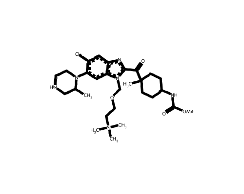 COC(=O)NC1CCC(C)(C(=O)c2nc3cc(Cl)c(N4CCNCC4C)cc3n2COCC[Si](C)(C)C)CC1